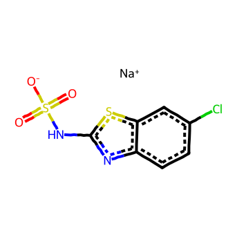 O=S(=O)([O-])Nc1nc2ccc(Cl)cc2s1.[Na+]